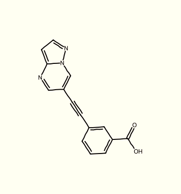 O=C(O)c1cccc(C#Cc2cnc3ccnn3c2)c1